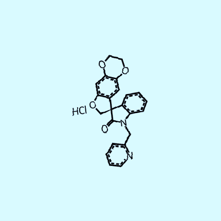 Cl.O=C1N(Cc2ccccn2)c2ccccc2[C@]12COc1cc3c(cc12)OCCO3